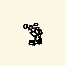 c1ccc(-c2nc(-c3ccccc3)nc(-c3ccc(-n4c5ccccc5c5ccccc54)c(-n4c5ccccc5c5ccccc54)c3-c3cccc4ccccc34)n2)cc1